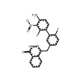 Nc1ccc(-c2cc(Cc3n[nH]c(=O)c4ccccc34)ccc2F)c(F)c1[N+](=O)[O-]